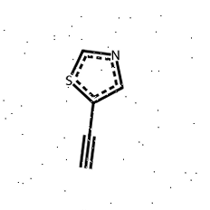 C#Cc1cncs1